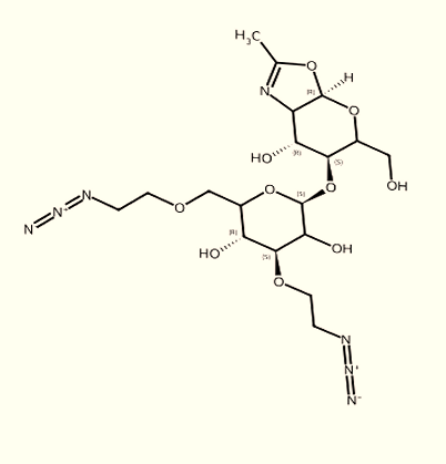 CC1=NC2[C@@H](O1)OC(CO)[C@@H](O[C@@H]1OC(COCCN=[N+]=[N-])[C@@H](O)[C@H](OCCN=[N+]=[N-])C1O)[C@@H]2O